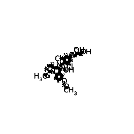 COCOc1cccc(-c2c(-c3ccnc(SC)n3)nc(-c3c(Cl)cc(OC[C@@H](O)CO)cc3Cl)n2O)c1